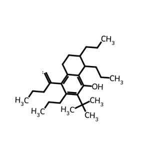 [C]=C(CCC)c1c2c(c(O)c(C(C)(C)C)c1CCC)C(CCC)C(CCC)CC2